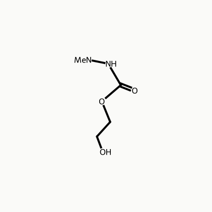 CNNC(=O)OCCO